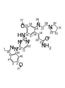 COc1ccc2c(C)nn(-c3ccnc(Nc4cc(C=CC(N)=O)c(N(C)CCN5CCCC5)cc4OC)n3)c2c1